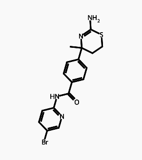 CC1(c2ccc(C(=O)Nc3ccc(Br)cn3)cc2)CCSC(N)=N1